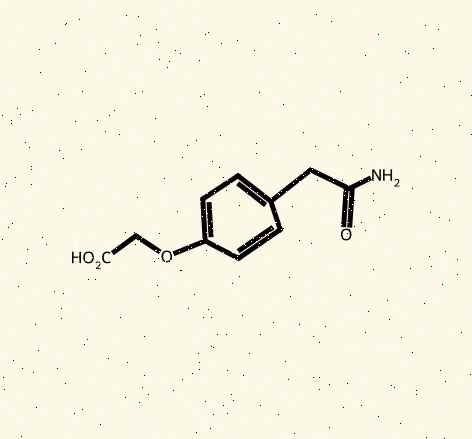 NC(=O)Cc1ccc(OCC(=O)O)cc1